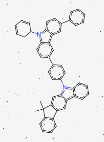 CC1(C)c2ccccc2-c2cc3c4ccccc4n(-c4ccc(-c5ccc6c(c5)c5cc(-c7ccccc7)ccc5n6C5C=CC=CC5)cc4)c3cc21